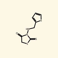 O=C1CSC(=S)N1NCc1cccs1